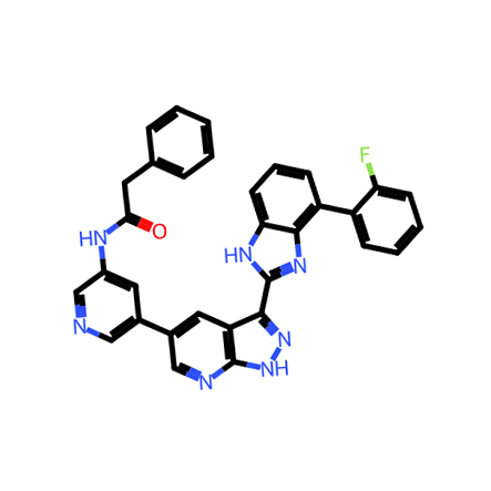 O=C(Cc1ccccc1)Nc1cncc(-c2cnc3[nH]nc(-c4nc5c(-c6ccccc6F)cccc5[nH]4)c3c2)c1